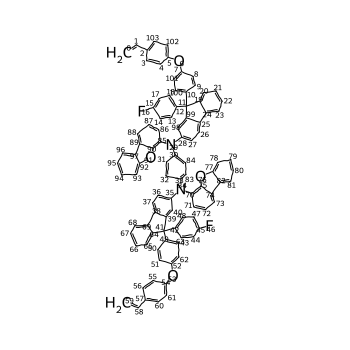 C=Cc1ccc(Oc2ccc(C3(c4ccc(F)cc4)c4ccccc4-c4ccc(N(c5ccc(N(c6ccc7c(c6)C(c6ccc(F)cc6)(c6ccc(Oc8ccc(C=C)cc8)cc6)c6ccccc6-7)c6cccc7c6oc6ccccc67)cc5)c5cccc6c5oc5ccccc56)cc43)cc2)cc1